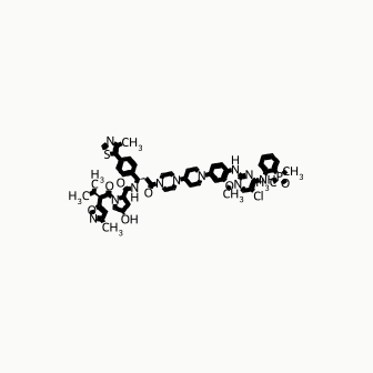 COc1cc(N2CCC(N3CCN(C(=O)C[C@H](NC(=O)C4C[C@@H](O)CN4C(=O)[C@@H](c4cc(C)no4)C(C)C)c4ccc(-c5scnc5C)cc4)CC3)CC2)ccc1Nc1ncc(Cl)c(Nc2ccccc2P(C)(C)=O)n1